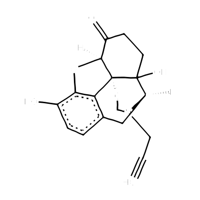 C#CCN1CC[C@]23c4c5ccc(O)c4O[C@H]2C(=O)CCC3(O)[C@H]1C5